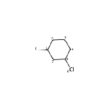 CC1CCCC(Cl)C1